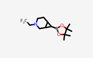 CC1(C)OB(C2C3CCN(CC(F)(F)F)CC32)OC1(C)C